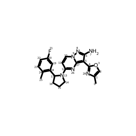 Cc1coc(-c2c(N)nn3ccc(N4CCCC4c4cc(F)ccc4C)nc23)n1